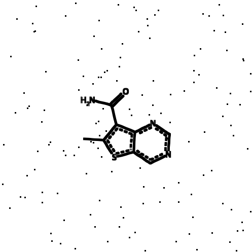 Cc1sc2cncnc2c1C(N)=O